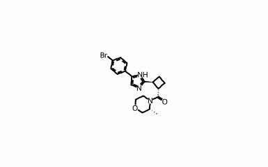 C[C@@H]1COCCN1C(=O)[C@H]1CC[C@@H]1c1ncc(-c2ccc(Br)cc2)[nH]1